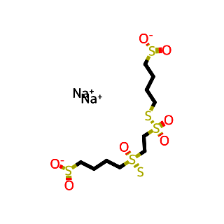 O=S([O-])CCCCSS(=O)(=O)CCS(=O)(=S)CCCCS(=O)[O-].[Na+].[Na+]